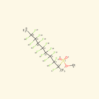 CCOS(=O)(=O)C(F)(C(F)(F)F)C(F)(F)C(F)(F)C(F)(F)C(F)(F)C(F)(F)C(F)(F)C(F)(F)C(F)(F)F